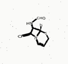 O=[C]NC1C(=O)N2C=CCS[C@@H]12